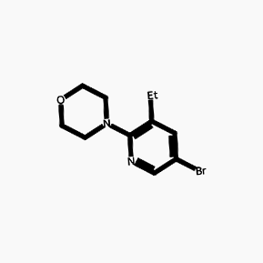 CCc1cc(Br)cnc1N1CCOCC1